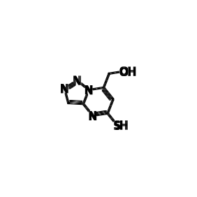 OCc1cc(S)nc2cnnn12